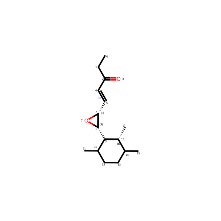 CCC(=O)/C=C/[C@H]1O[C@H]1C1C(C)CCC(C)[C@H]1C